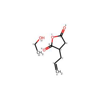 C=CCC1CC(=O)OC1=O.CCO